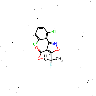 CC(C)(F)c1onc(-c2c(Cl)cccc2Cl)c1C(=O)O